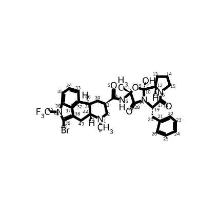 CN1C[C@H](C(=O)N[C@]2(C)O[C@@]3(O)[C@@H]4CCCN4C(=O)[C@H](Cc4ccccc4)N3C2=O)C[C@@H]2c3cccc4c3c(c(Br)n4C(F)(F)F)C[C@H]21